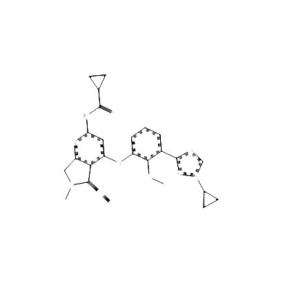 COc1c(Nc2cc(NC(=O)C3CC3)nc3c2C(=C=O)N(C)C3)cccc1-c1ncn(C2CC2)n1